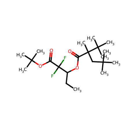 CCC(OC(=O)C(C)(CC(C)(C)C)C(C)(C)C)C(F)(F)C(=O)OC(C)(C)C